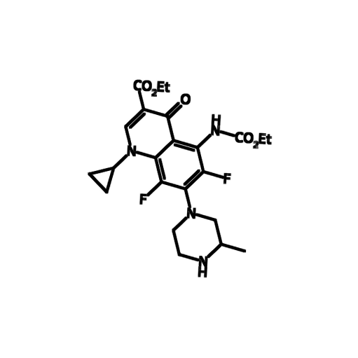 CCOC(=O)Nc1c(F)c(N2CCNC(C)C2)c(F)c2c1c(=O)c(C(=O)OCC)cn2C1CC1